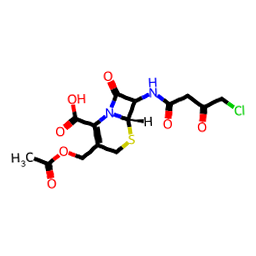 CC(=O)OCC1=C(C(=O)O)N2C(=O)C(NC(=O)CC(=O)CCl)[C@@H]2SC1